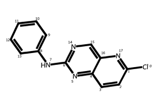 Clc1ccc2nc(Nc3ccccc3)ncc2n1